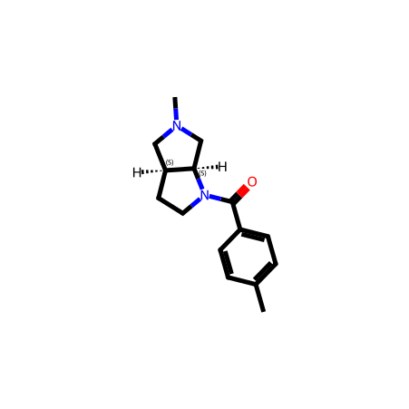 Cc1ccc(C(=O)N2CC[C@H]3CN(C)C[C@H]32)cc1